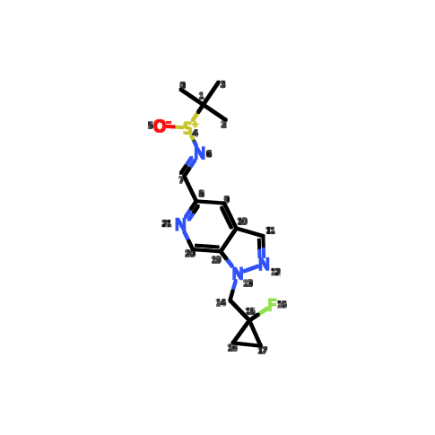 CC(C)(C)[S+]([O-])N=Cc1cc2cnn(CC3(F)CC3)c2cn1